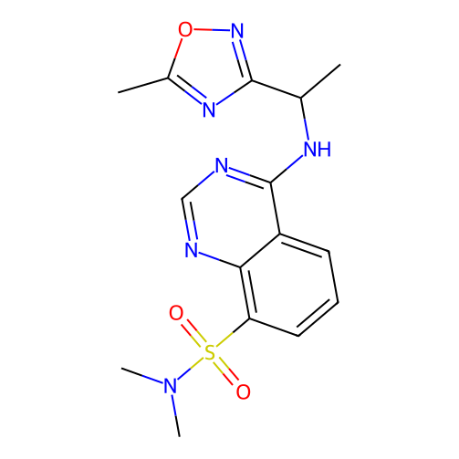 Cc1nc(C(C)Nc2ncnc3c(S(=O)(=O)N(C)C)cccc23)no1